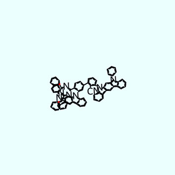 N#Cc1c(-c2ccc(-c3nc(-c4ccccc4)nc(-c4ccccc4)n3)c(-n3c4ccccc4c4cc5c6ccccc6n(-c6ccccc6)c5cc43)c2)cccc1-n1c2ccccc2c2cc3c4ccccc4n(-c4ccccc4)c3cc21